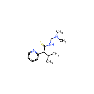 CC(C)C(C(=S)NCN(C)C)c1ccccn1